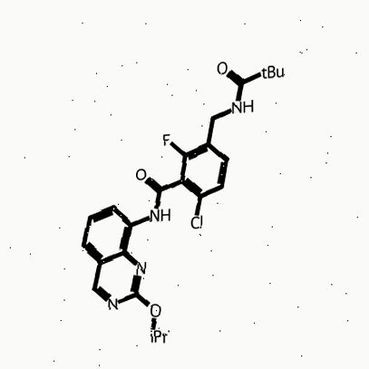 CC(C)Oc1ncc2cccc(NC(=O)c3c(Cl)ccc(CNC(=O)C(C)(C)C)c3F)c2n1